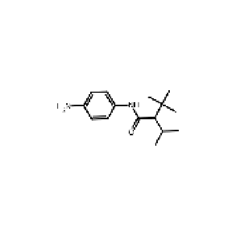 CC(C)C(C(=O)Nc1ccc(N)cc1)C(C)(C)C